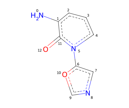 Nc1cccn(-c2cnco2)c1=O